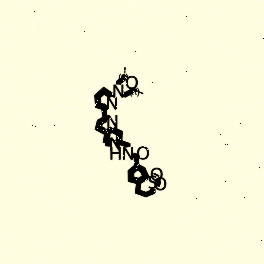 C[C@@H]1CN(c2cccc(-c3ccc4cnc(CNC(=O)c5ccc6c(c5)S(=O)(=O)CCC6)cc4n3)n2)C[C@H](C)O1